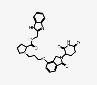 O=C1CCC(N2Cc3c(OCCCN4CCCC4C(=O)NCc4nc5ccccc5[nH]4)cccc3C2=O)C(=O)N1